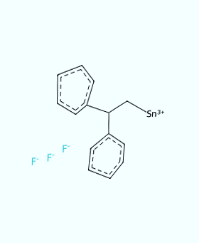 [F-].[F-].[F-].[Sn+3][CH2]C(c1ccccc1)c1ccccc1